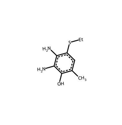 CCSc1cc(C)c(O)c(N)c1N